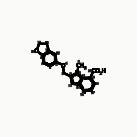 Cn1c(COc2ccc3c(c2)CCO3)cc2nccc(C(=O)O)c21